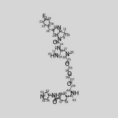 C[C@@H]1CN(CC(=O)N2CC(C)(C)c3ncc(Cc4ccc(F)cc4)cc32)[C@@H](CN(C)CCOCCOCCOCCN[C@H](C)c2ccc(C(=O)Nc3ccncc3)cc2)CN1